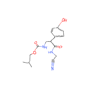 CC(C)COC(=O)NCC(C(=O)NCC#N)c1ccc(O)cc1